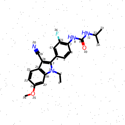 CCn1c(-c2ccc(NC(=O)NC(C)C)c(F)c2)c(C#N)c2ccc(OC)cc21